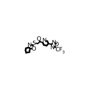 O=C(CSc1nc2ccccc2o1)c1ccc(-c2noc(C(F)(F)F)n2)cn1